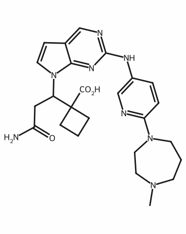 CN1CCCN(c2ccc(Nc3ncc4ccn(C(CC(N)=O)C5(C(=O)O)CCC5)c4n3)cn2)CC1